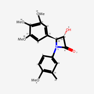 COc1ccc(N2C(=O)[C@@H](O)[C@@H]2c2cc(OC)c(OC)c(OC)c2)cc1C